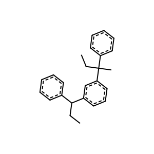 CCC(c1ccccc1)c1cccc(C(C)(CC)c2ccccc2)c1